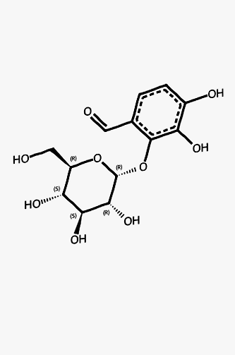 O=Cc1ccc(O)c(O)c1O[C@H]1O[C@H](CO)[C@@H](O)[C@H](O)[C@H]1O